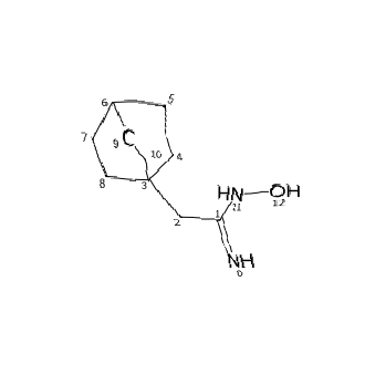 N=C(CC12CCC(CC1)CC2)NO